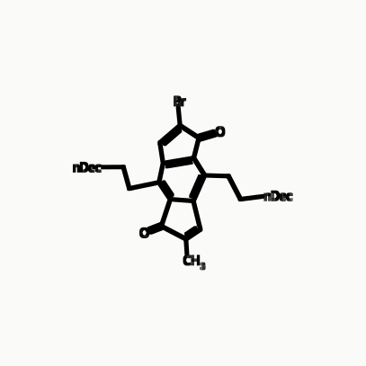 CCCCCCCCCCCCc1c2cc(Br)c(=O)c2c(CCCCCCCCCCCC)c2cc(C)c(=O)c12